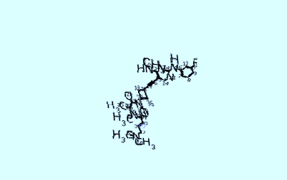 CNc1nc(Nc2cccc(F)c2)ncc1C#CC1CC(NC(=O)[C@H](C)N(C)C(=O)/C=C/CN(C)C)C1